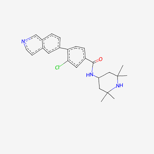 CC1(C)CC(NC(=O)c2ccc(-c3ccc4cnccc4c3)c(Cl)c2)CC(C)(C)N1